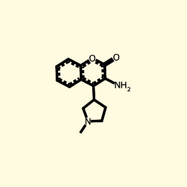 CN1CCC(c2c(N)c(=O)oc3ccccc23)C1